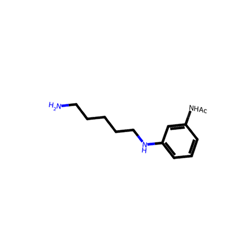 CC(=O)Nc1cccc(NCCCCCN)c1